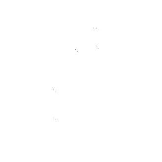 COc1ccccc1N1CCN(C(=O)c2ccc(NS(=O)(=O)c3cccc4cccnc34)c3c2OCCO3)CC1